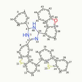 c1ccc(C2NC(c3ccc4sc5cccc(-c6cccc7c6sc6ccccc67)c5c4c3)=NC(c3cccc4oc5ccccc5c34)N2)cc1